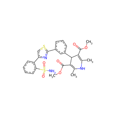 COC(=O)C1=C(C)NC(C)=C(C(=O)OC)C1c1cccc(-c2nc(-c3ccccc3S(N)(=O)=O)cs2)c1